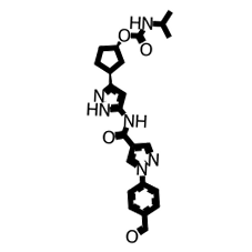 CC(C)NC(=O)O[C@@H]1CC[C@H](c2cc(NC(=O)c3cnn(-c4ccc(C=O)cc4)c3)[nH]n2)C1